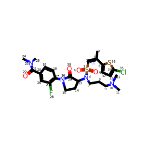 C/C(=C/S(=O)(=O)N(CCCN(C)C)C1CCN(c2ccc(C(=O)N(C)C)cc2F)C1=O)c1ccc(Cl)s1